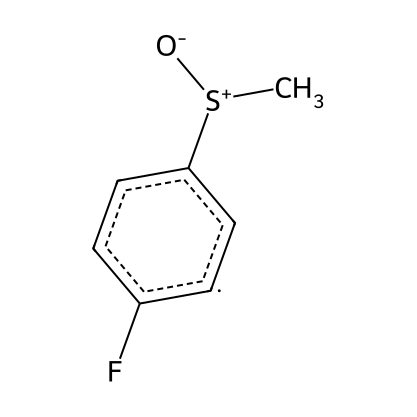 C[S+]([O-])c1c[c]c(F)cc1